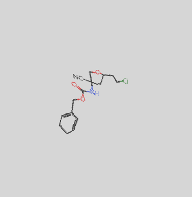 N#CC1(NC(=O)OCc2ccccc2)COC(CCCl)C1